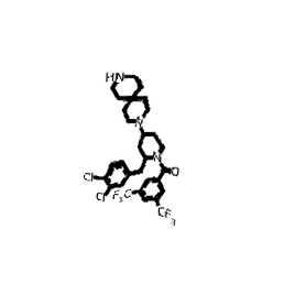 O=C(c1cc(C(F)(F)F)cc(C(F)(F)F)c1)N1CCC(N2CCC3(CCNCC3)CC2)CC1Cc1ccc(Cl)c(Cl)c1